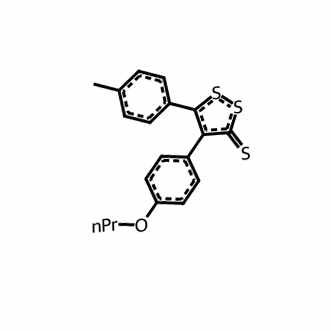 CCCOc1ccc(-c2c(-c3ccc(C)cc3)ssc2=S)cc1